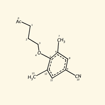 CC(=O)CCCOc1c(C)cc(C#N)cc1C